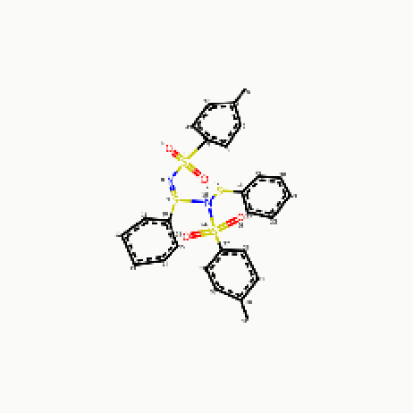 Cc1ccc(S(=O)(=O)/N=S(/c2ccccc2)N(Sc2ccccc2)S(=O)(=O)c2ccc(C)cc2)cc1